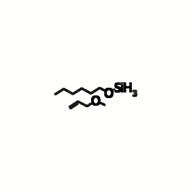 C=CCOC.CCCCCCO[SiH3]